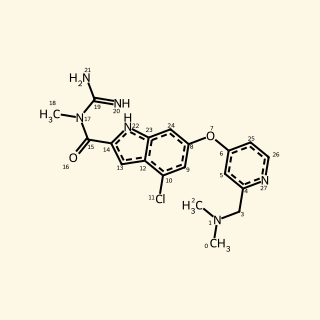 CN(C)Cc1cc(Oc2cc(Cl)c3cc(C(=O)N(C)C(=N)N)[nH]c3c2)ccn1